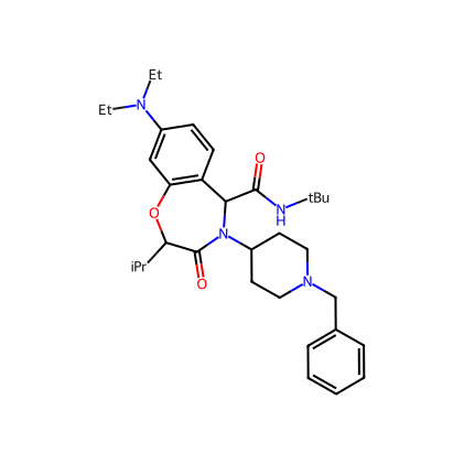 CCN(CC)c1ccc2c(c1)OC(C(C)C)C(=O)N(C1CCN(Cc3ccccc3)CC1)C2C(=O)NC(C)(C)C